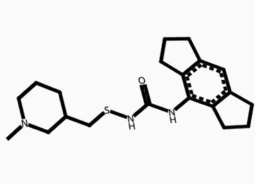 CN1CCCC(CSNC(=O)Nc2c3c(cc4c2CCC4)CCC3)C1